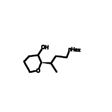 CCCCCCCCC(C)[C@@H]1OCCCC1O